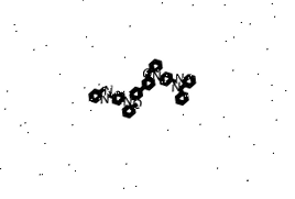 c1ccc(-c2nc(-c3ccc(N4c5ccccc5Oc5cc(-c6ccc7c(c6)Oc6ccccc6N7c6ccc(-c7ncc8ccccc8n7)cc6)ccc54)cc3)nc3ccccc23)cc1